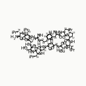 CC[C@H](C)[C@H](NC(=O)[C@H](CC(C)C)NC(=O)C1CCCN1C(=O)[C@H](CC(C)C)NC(=O)[C@@H](N)Cc1ccccc1)C(=O)NCC(=O)N[C@@H](CCCNC(=N)N)C(=O)NCC(=O)N[C@@H](CC(C)C)C(=O)N[C@@H](CO)C(=O)NCC(=O)N[C@@H](CC(C)C)C(=O)N[C@@H](CC(C)C)C(N)=O